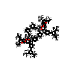 FC(F)(F)c1cc(-c2ccc3c(c2)c2cc(-c4cc(C(F)(F)F)cc(C(F)(F)F)c4)ccc2n3-c2ccc(-c3ccc(-n4c5ccc(-c6cc(C(F)(F)F)cc(C(F)(F)F)c6)cc5c5cc(-c6cc(C(F)(F)F)cc(C(F)(F)F)c6)ccc54)c(-c4nc(-c5ccccc5)nc(-c5ccccc5)n4)c3)cc2-c2nc(-c3ccccc3)nc(-c3ccccc3)n2)cc(C(F)(F)F)c1